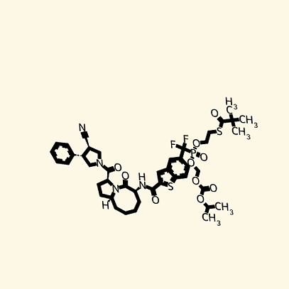 CC(C)OC(=O)OCOP(=O)(OCCSC(=O)C(C)(C)C)C(F)(F)c1ccc2sc(C(=O)N[C@H]3CCCC[C@H]4CC[C@@H](C(=O)N5C[C@H](c6ccccc6)[C@@H](C#N)C5)N4C3=O)cc2c1